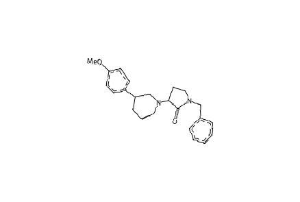 COc1ccc(C2CCCN(C3CCN(Cc4ccccc4)C3=O)C2)cc1